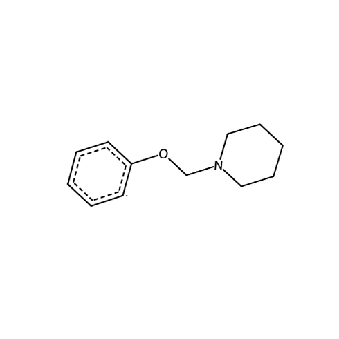 [c]1ccccc1OCN1CCCCC1